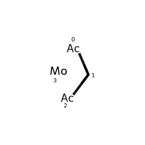 CC(=O)CC(C)=O.[Mo]